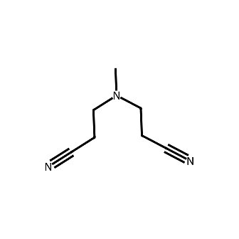 CN(CCC#N)CCC#N